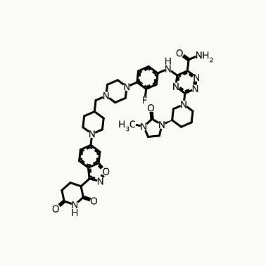 CN1CCN([C@@H]2CCCN(c3nnc(C(N)=O)c(Nc4ccc(N5CCN(CC6CCN(c7ccc8c(C9CCC(=O)NC9=O)noc8c7)CC6)CC5)c(F)c4)n3)C2)C1=O